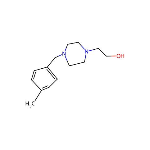 Cc1ccc(CN2CCN(CCO)CC2)cc1